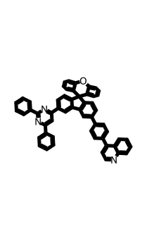 c1ccc(-c2cc(-c3ccc4c(c3)-c3cc(-c5ccc(-c6ccnc7ccccc67)cc5)ccc3C43c4ccccc4Oc4ccccc43)nc(-c3ccccc3)n2)cc1